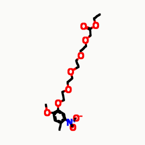 CCOC(=O)COCCOCCOCCOCCOc1cc([N+](=O)[O-])c(C)cc1OC